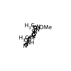 COc1cnc2c(-c3nc4cc(F)c(OC[C@@H](C)OC(=O)Nc5ccncc5)cc4s3)cc(C)cc2n1